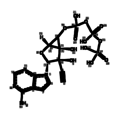 C#C[C@]1(O)[C@H](n2ccc3c(N)ncnc32)O[C@@H]2C(OP(=O)(O)OP(=O)(O)OP(=O)(O)O)[C@@]21O